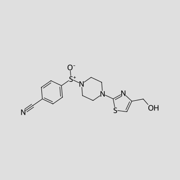 N#Cc1ccc([S+]([O-])N2CCN(c3nc(CO)cs3)CC2)cc1